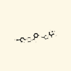 Cc1c(N2CCC(COc3cccc(C(=O)N4CCN(c5ccc(C#N)cn5)CC4)c3)C2)cn[nH]c1=O